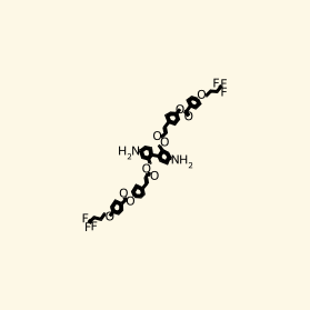 Nc1ccc(-c2ccc(N)cc2COC(=O)/C=C/c2ccc(OC(=O)c3ccc(OCCCC(F)(F)F)cc3)cc2)c(COC(=O)/C=C/c2ccc(OC(=O)c3ccc(OCCCC(F)(F)F)cc3)cc2)c1